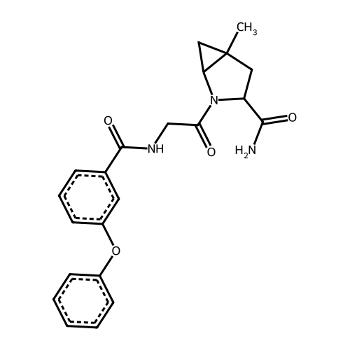 CC12CC(C(N)=O)N(C(=O)CNC(=O)c3cccc(Oc4ccccc4)c3)C1C2